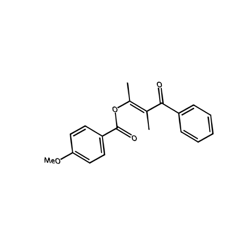 COc1ccc(C(=O)OC(C)=C(C)C(=O)c2ccccc2)cc1